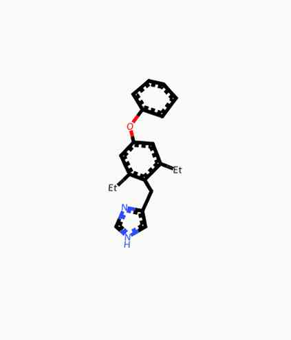 CCc1cc(Oc2ccccc2)cc(CC)c1Cc1c[nH]cn1